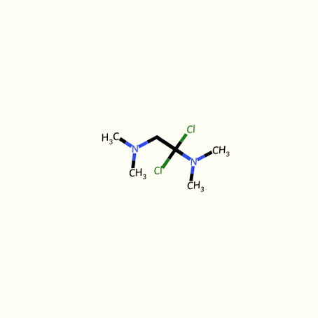 CN(C)CC(Cl)(Cl)N(C)C